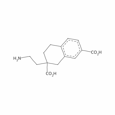 NCCC1(C(=O)O)CCc2ccc(C(=O)O)cc2C1